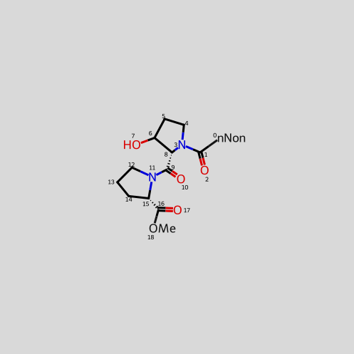 CCCCCCCCCC(=O)N1CCC(O)[C@H]1C(=O)N1CCC[C@H]1C(=O)OC